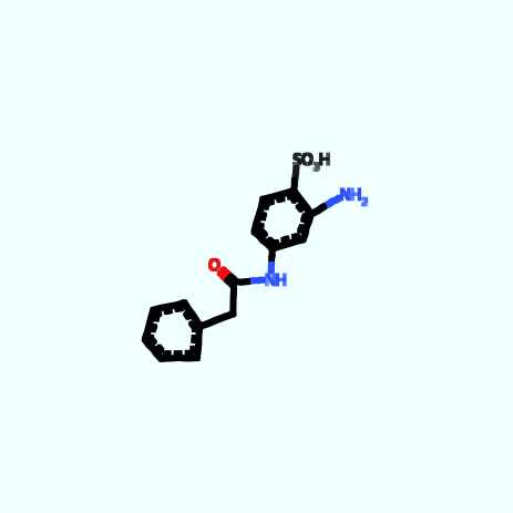 Nc1cc(NC(=O)Cc2ccccc2)ccc1S(=O)(=O)O